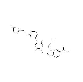 COC(=O)c1ccc2nc(Cc3cc(F)c(-c4cccc(OCc5ncc(Cl)s5)n4)cc3F)n(CC3CCO3)c2c1